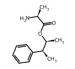 C[C@H](N)C(=O)O[C@@H](C)[C@@H](C)c1ccccc1